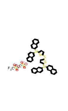 O=S(=O)([O-])C(F)(F)F.O=S(=O)([O-])C(F)(F)F.c1ccc2cc([S+](c3ccc4ccccc4c3)c3ccc(Sc4ccc([S+](c5ccc6ccccc6c5)c5ccc6ccccc6c5)s4)s3)ccc2c1